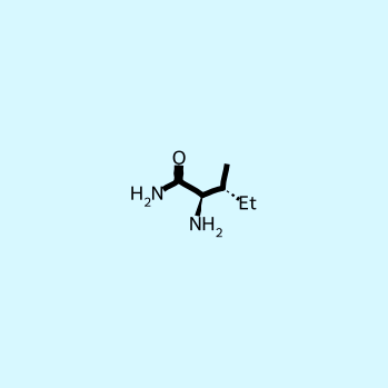 CC[C@@H](C)[C@@H](N)C(N)=O